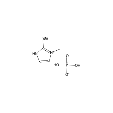 CCCCc1[nH]cc[n+]1C.O=P([O-])(O)O